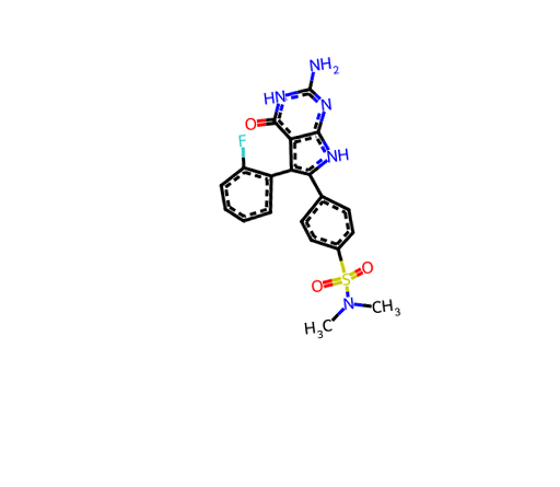 CN(C)S(=O)(=O)c1ccc(-c2[nH]c3nc(N)[nH]c(=O)c3c2-c2ccccc2F)cc1